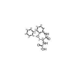 O=C(O)N[C@H]1COc2c(cccc2-c2ccccc2)NC1=O